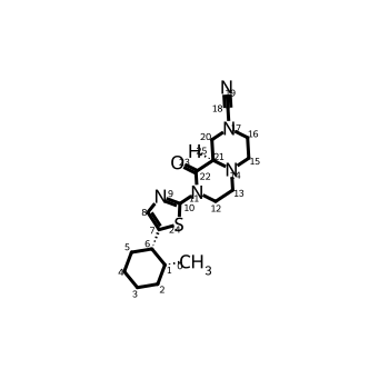 C[C@@H]1CCCC[C@@H]1c1cnc(N2CCN3CCN(C#N)C[C@@H]3C2=O)s1